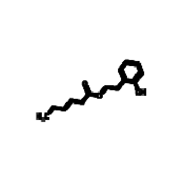 CCCCCC(=O)OCCc1ccccc1O